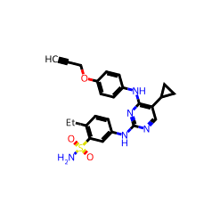 C#CCOc1ccc(Nc2nc(Nc3ccc(CC)c(S(N)(=O)=O)c3)ncc2C2CC2)cc1